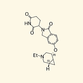 CCN1C[C@H]2CC2[C@@H](Oc2ccc3c(c2)CN(C2CCC(=O)NC2=O)C3=O)C1